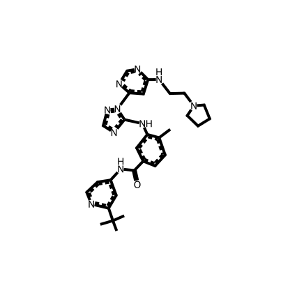 Cc1ccc(C(=O)Nc2ccnc(C(C)(C)C)c2)cc1Nc1ncnn1-c1cc(NCCN2CCCC2)ncn1